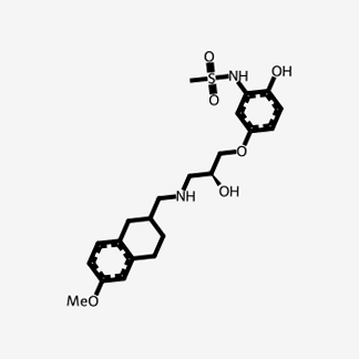 COc1ccc2c(c1)CCC(CNC[C@H](O)COc1ccc(O)c(NS(C)(=O)=O)c1)C2